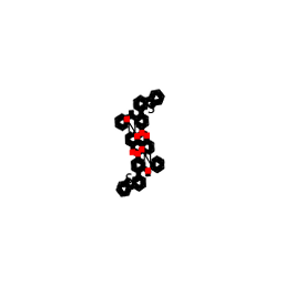 CC(C)c1ccc(-c2cccc3c2sc2ccccc23)c(C(C)C)c1N(c1ccccc1)c1ccc2ccc3c(N(c4ccccc4)c4c(C(C)C)ccc(-c5cccc6c5sc5ccccc56)c4C(C)C)ccc4ccc1c2c43